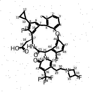 Cc1cccc2c1-c1cc(C3CC3)c(F)c(c1)[C@H](CC(=O)O)NC(=O)[C@H](n1cc(CCN3CC(F)C3)c(C(F)(F)F)cc1=O)c1cc(ccc1F)O2